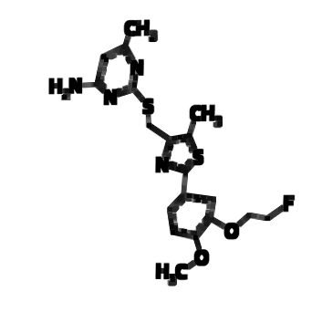 COc1ccc(-c2nc(CSc3nc(C)cc(N)n3)c(C)s2)cc1OCCF